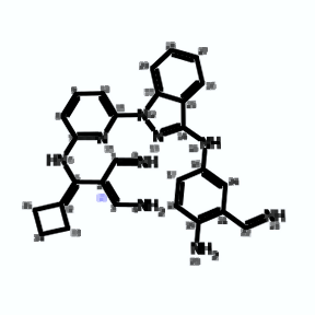 N=C/C(=C\N)C(Nc1cccc(-n2nc(Nc3ccc(N)c(C=N)c3)c3ccccc32)n1)=C1CCC1